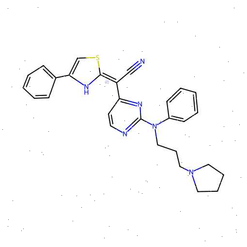 N#C/C(=C1/NC(c2ccccc2)=CS1)c1ccnc(N(CCCN2CCCC2)c2ccccc2)n1